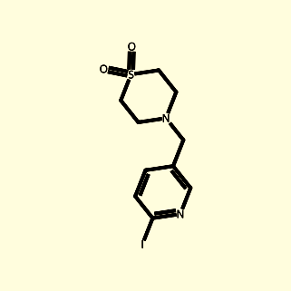 O=S1(=O)CCN(Cc2ccc(I)nc2)CC1